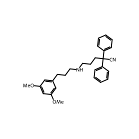 COc1cc(CCCNCCCC(C#N)(c2ccccc2)c2ccccc2)cc(OC)c1